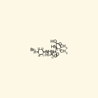 CC(C)[C@H](NC(=O)O)C(=O)N[C@H](C=O)CNc1ccc(CBr)cc1